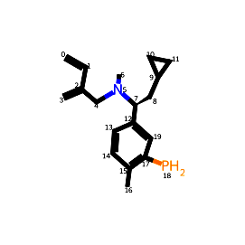 C=CC(=C)CN(C)[C@@H](CC1CC1)c1ccc(C)c(P)c1